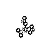 C=C1C(c2cccc3oc4ccccc4c23)=NC(n2c3ccccc3c3ccccc32)=NC1c1ccc2c(c1)oc1ccccc12